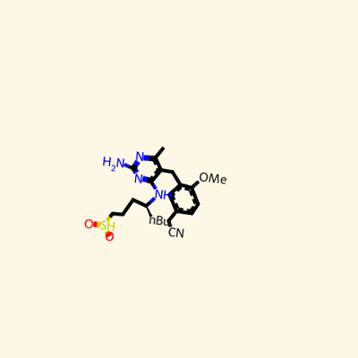 CCCC[C@@H](CCC[SH](=O)=O)Nc1nc(N)nc(C)c1Cc1cc(CC#N)ccc1OC